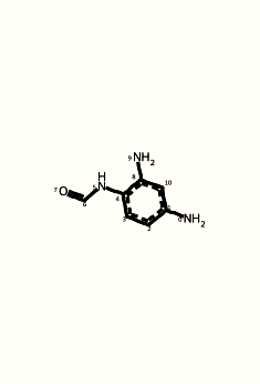 Nc1ccc(NC=O)c(N)c1